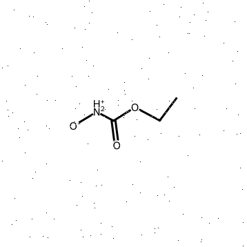 CCOC(=O)[NH2+][O-]